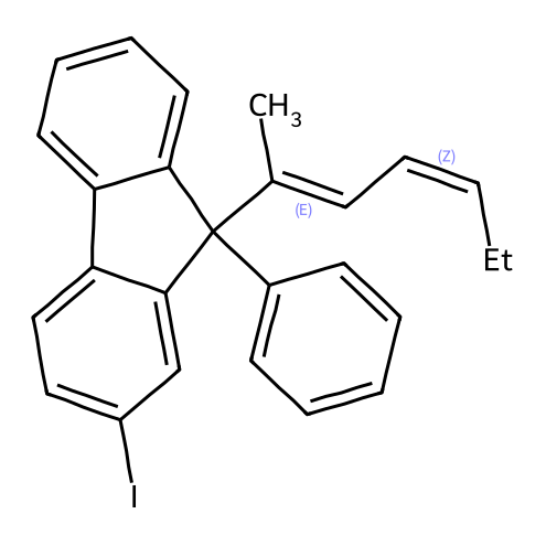 CC/C=C\C=C(/C)C1(c2ccccc2)c2ccccc2-c2ccc(I)cc21